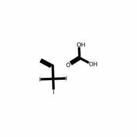 C=CC(I)(I)I.O=C(O)O